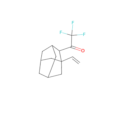 C=CC12CC3CC(CC(C3)C1C(=O)C(F)(F)F)C2